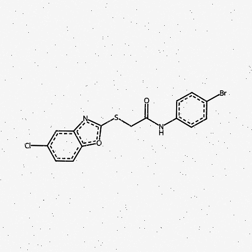 O=C(CSc1nc2cc(Cl)ccc2o1)Nc1ccc(Br)cc1